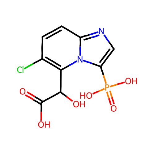 O=C(O)C(O)c1c(Cl)ccc2ncc(P(=O)(O)O)n12